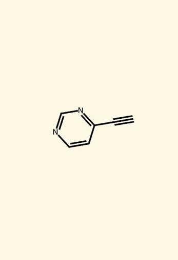 C#Cc1ccncn1